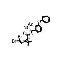 CC(C)=O.CC1(C)[C@H](C(=O)O[C@H](C#N)c2cccc(Oc3ccccc3)c2)[C@@H]1C=C(Br)Br